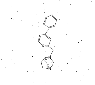 c1ccc(-c2ccnc(CN3CCN4CCC3CC4)c2)cc1